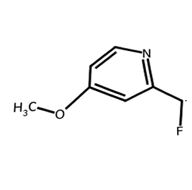 COc1ccnc([CH]F)c1